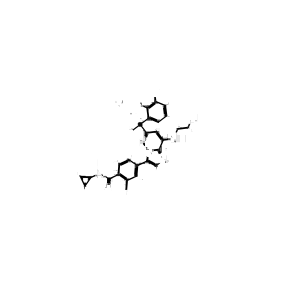 COc1c(F)cccc1C(C)(O)c1cc(NCCC(F)(F)F)c2ncc(-c3ccc(C(=O)NC4CC4)c(C)c3)n2n1